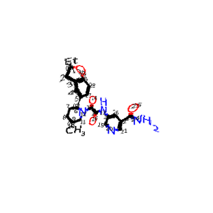 CC[C@@H]1Cc2cc([C@@H]3CC[C@@H](C)CN3C(=O)C(=O)Nc3cncc(C(N)=O)c3)ccc2O1